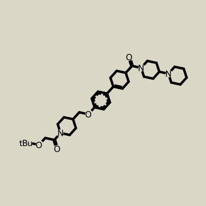 CC(C)(C)OCC(=O)N1CCC(COc2ccc(C3=CCC(C(=O)N4CCC(N5CCCCC5)CC4)CC3)cc2)CC1